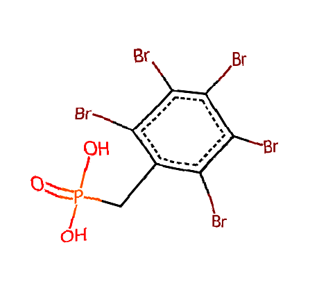 O=P(O)(O)Cc1c(Br)c(Br)c(Br)c(Br)c1Br